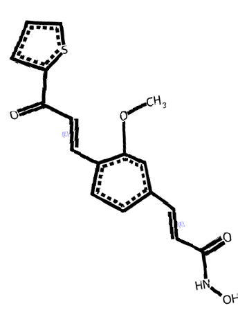 COc1cc(/C=C/C(=O)NO)ccc1/C=C/C(=O)c1cccs1